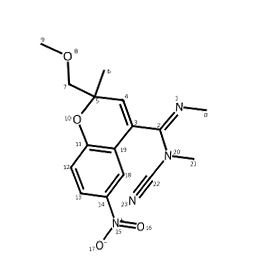 CN=C(C1=CC(C)(COC)Oc2ccc([N+](=O)[O-])cc21)N(C)C#N